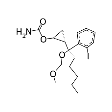 CCCCC[C@@](OCOC)(c1ccccc1I)[C@H]1CC1OC(N)=O